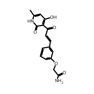 Cc1cc(O)c(C(=O)C=Cc2cccc(OCC(N)=O)c2)c(=O)[nH]1